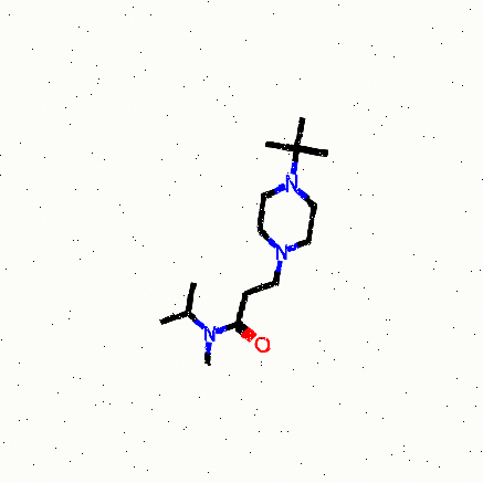 CC(C)N(C)C(=O)CCN1CCN(C(C)(C)C)CC1